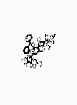 CCOP(=O)(NC1C(=O)N2C(C(=O)OC(c3ccccc3)c3ccccc3)=C(C=C(S)c3n[nH]c(=O)c(=O)n3CC(OC)OC)CSC12)OCC